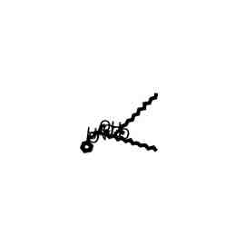 CCCCCCCCCCCCCC(=O)OC(CCCCCCCCCCC)CC(=O)NC(CO)COCc1ccccc1